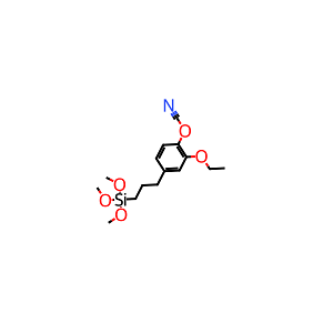 CCOc1cc(CCC[Si](OC)(OC)OC)ccc1OC#N